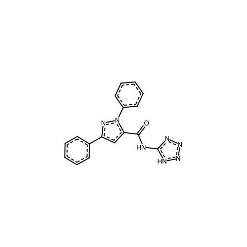 O=C(Nc1nnn[nH]1)c1cc(-c2ccccc2)nn1-c1ccccc1